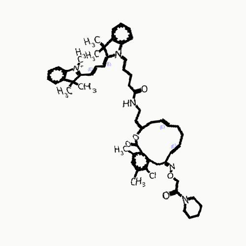 Cc1cc(C)c2c(c1Cl)CC(=NOCC(=O)N1CCCCC1)/C=C/CC/C=C/CC(CCNC(=O)CCCCN1/C(=C/C=C/C3=[N+](C)c4ccccc4C3(C)C)C(C)(C)c3ccccc31)OC2=O